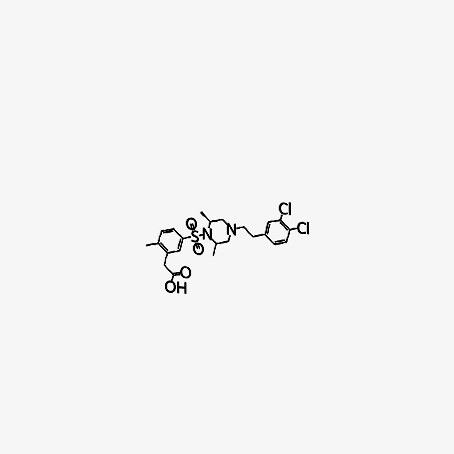 Cc1ccc(S(=O)(=O)N2C(C)CN(CCc3ccc(Cl)c(Cl)c3)C[C@@H]2C)cc1CC(=O)O